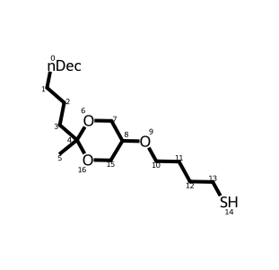 CCCCCCCCCCCCCC1(C)OCC(OCCCCS)CO1